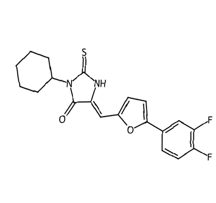 O=C1/C(=C/c2ccc(-c3ccc(F)c(F)c3)o2)NC(=S)N1C1CCCCC1